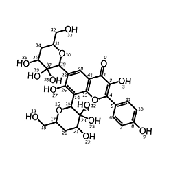 O=c1c(O)c(-c2ccc(O)cc2)oc2c(C3OC(CO)CC(O)C3(O)O)c(O)c(C3OC(CO)CC(O)C3(O)O)cc12